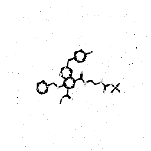 COC(=O)c1cc(C(=O)NCCNC(=O)OC(C)(C)C)c2cc(Cc3ccc(F)cc3)cnc2c1OCc1ccccc1